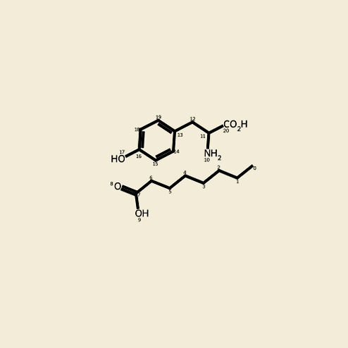 CCCCCCCC(=O)O.NC(Cc1ccc(O)cc1)C(=O)O